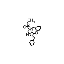 CCOC(=O)C1C[C@H]2CN(Cc3ccccc3)C(=O)C2N1Cc1ccccc1